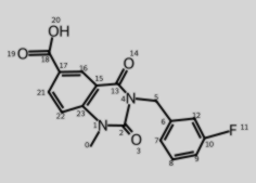 Cn1c(=O)n(Cc2cccc(F)c2)c(=O)c2cc(C(=O)O)ccc21